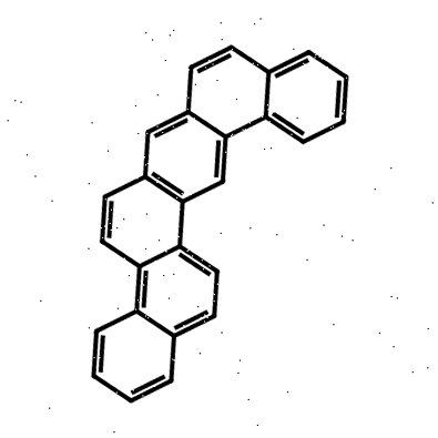 c1ccc2c(c1)ccc1cc3ccc4c5ccccc5ccc4c3cc12